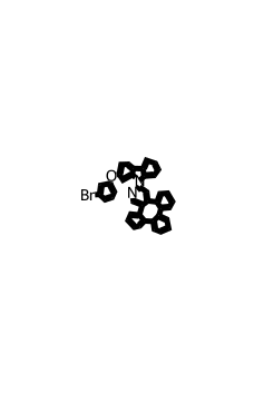 Brc1cccc(Oc2ccc3c4ccccc4n(-c4cc5c(cn4)-c4ccccc4-c4ccccc4-c4ccccc4-5)c3c2)c1